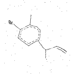 [CH2]C(C=C)c1ccc(Br)c(C)c1